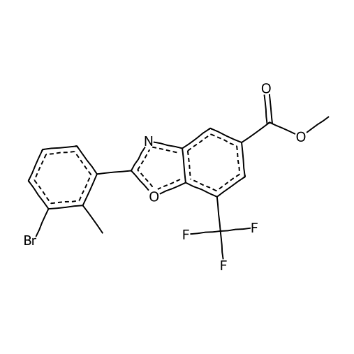 COC(=O)c1cc(C(F)(F)F)c2oc(-c3cccc(Br)c3C)nc2c1